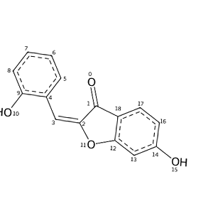 O=C1C(=Cc2ccccc2O)Oc2cc(O)ccc21